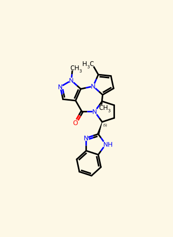 Cc1ccc(C)n1-c1c(C(=O)N2CCC[C@H]2c2nc3ccccc3[nH]2)cnn1C